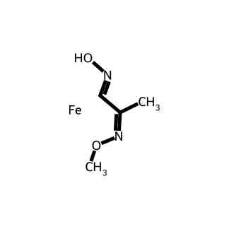 CON=C(C)C=NO.[Fe]